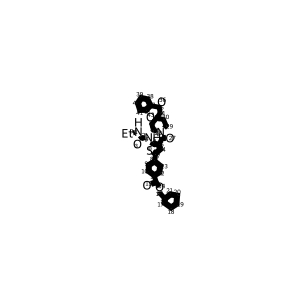 CCNC(=O)Nc1sc(-c2ccc(C(=O)OCc3ccccc3)cc2)cc1C(=O)N1CCC2(CC1)CC(=O)c1ccccc1O2